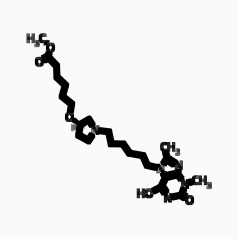 COC(=O)CCCCCO[C@@H]1CCN(CCCCCCn2c(C)nc3c2c(O)nc(=O)n3C)C1